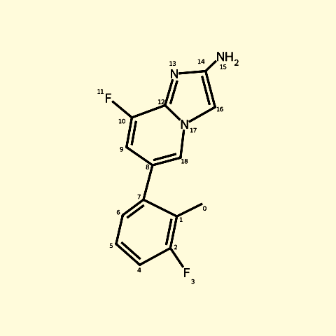 Cc1c(F)cccc1-c1cc(F)c2nc(N)cn2c1